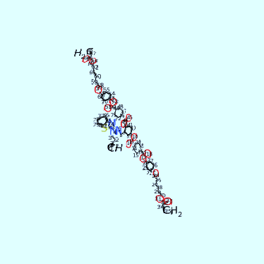 C#CCCN(/N=C/c1cc(OC(=O)[C@H]2CC[C@H](C(=O)Oc3ccc(OCCCCCCOC(=O)C=C)cc3)CC2)ccc1OC(=O)[C@H]1CC[C@H](C(=O)Oc2ccc(OCCCCCCOC(=O)C=C)cc2)CC1)c1nc2ccccc2s1